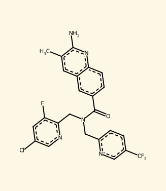 Cc1cc2cc(C(=O)N(Cc3ccc(C(F)(F)F)cn3)Cc3ncc(Cl)cc3F)ccc2nc1N